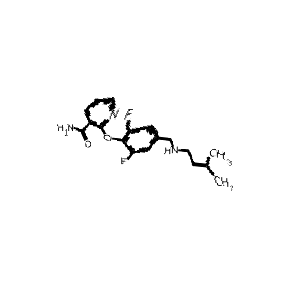 CC(C)CCNCc1cc(F)c(Oc2ncccc2C(N)=O)c(F)c1